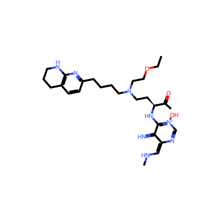 CCOCCN(CCCCc1ccc2c(n1)NCCC2)CC[C@H](NC1=[N+](O)C=N/C(=C/NC)C1=N)C(C)=O